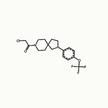 O=C(CCl)N1CCC2(CC1)CCN(c1ccc(OC(F)(F)F)cc1)C2